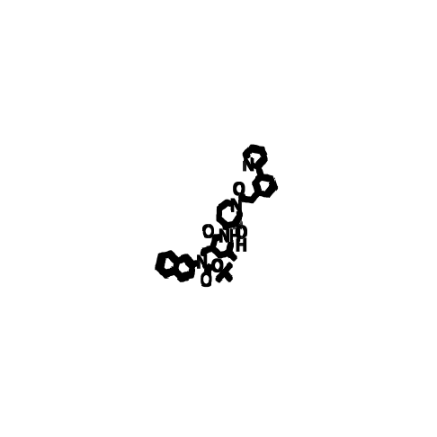 CC(C)CC(CN(C(=O)OC(C)(C)C)c1ccc2ccccc2c1)C(=O)NC1CCCN(C(=O)Cc2cccc(-c3ccccn3)c2)C[C@@H]1O